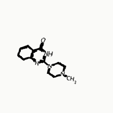 CN1CCN(c2nc3c(c(=O)[nH]2)C=CCC3)CC1